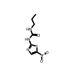 CCCNC(=O)Nc1ncc([N+](=O)[O-])s1